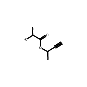 C#CC(C)OC(=O)C(C)[S]